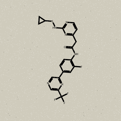 O=C(Cc1ccnc(NSC2CC2)n1)Nc1ccc(-c2cncc(C(F)(F)F)n2)cc1F